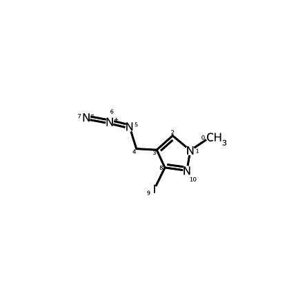 Cn1cc(CN=[N+]=[N-])c(I)n1